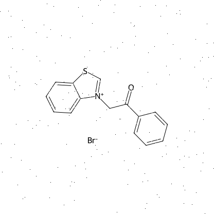 O=C(C[n+]1csc2ccccc21)c1ccccc1.[Br-]